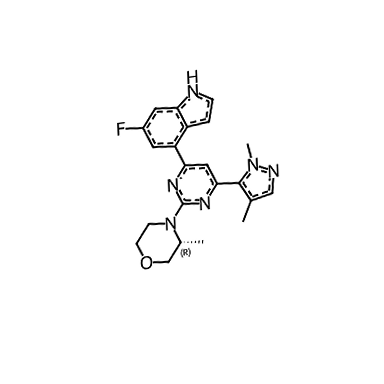 Cc1cnn(C)c1-c1cc(-c2cc(F)cc3[nH]ccc23)nc(N2CCOC[C@H]2C)n1